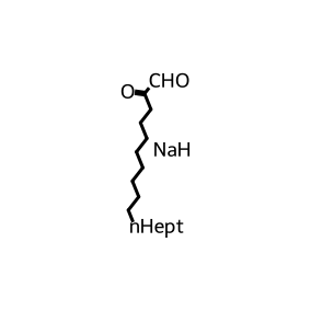 CCCCCCCCCCCCCCCC(=O)C=O.[NaH]